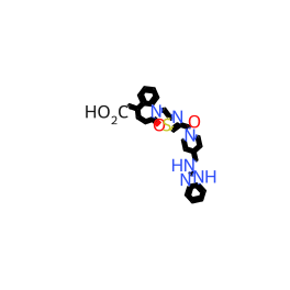 O=C(O)CC1CCC(=O)N(Cc2nc(C(=O)N3CCC(CNc4nc5ccccc5[nH]4)CC3)cs2)c2ccccc21